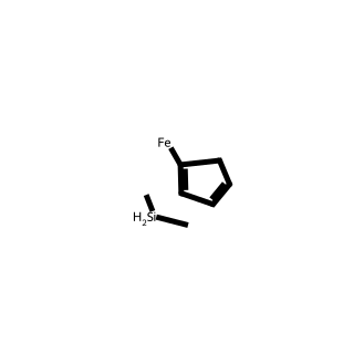 C[SiH2]C.[Fe][C]1=CC=CC1